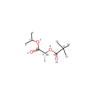 CC(C)OC(=O)[C@@H](C)OC(=O)C(C)(C)C